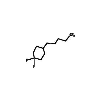 FC(F)(F)CCCCC1CCC(F)(F)CC1